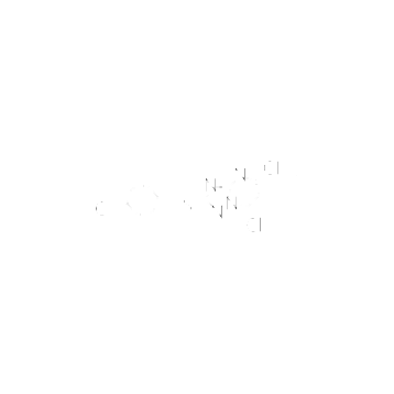 Cc1cc(Cl)n2nc(SCc3ccc(Cl)cc3)nc2n1